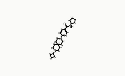 O=C(NC1CCCC1)c1ccc(N2CCC3(CC2)CCN(C2CCC2)CC3)nc1